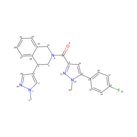 Cn1cc(C2CN(C(=O)c3cc(-c4ccc(F)cc4)n(C)n3)Cc3ccccc32)cn1